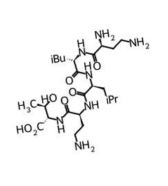 CC[C@@H](C)[C@@H](NC(=O)[C@@H](N)CCN)C(=O)N[C@@H](CC(C)C)C(=O)N[C@@H](CCN)C(=O)N[C@H](C(=O)O)[C@@H](C)O